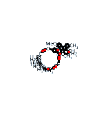 COc1ccc2c3c(c4c(c2c1)OC1(C=C4)c2ccc(cc2)OC2CCC(CC2)CO[Si](C)(C)O[Si](C)(C)O[Si](C)(C)O[Si](C)(C)OCC2CCC(CC2)Oc2ccc1cc2)C1(CC(C)(C)CC(C)(C)C1)c1cc(C)ccc1-3